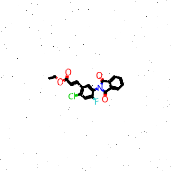 CCOC(=O)/C=C/c1cc(N2C(=O)c3ccccc3C2=O)c(F)cc1Cl